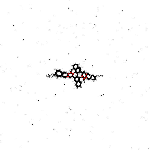 COc1ccc2cc(C(=O)Oc3c(-c4c(-c5ccccc5)cc5ccccc5c4OC(=O)c4ccc5cc(OC)ccc5c4)c(-c4ccccc4)cc4ccccc34)ccc2c1